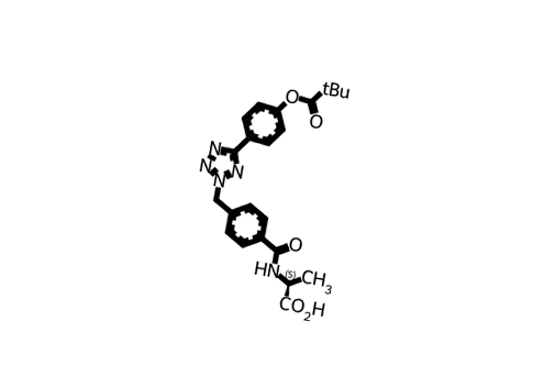 C[C@H](NC(=O)c1ccc(Cn2nnc(-c3ccc(OC(=O)C(C)(C)C)cc3)n2)cc1)C(=O)O